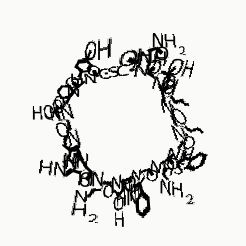 CCCC[C@H]1C(=O)N(C)[C@@H](CCCC)C(=O)N[C@@H](CC(=O)O)C(=O)N[C@H](C(=O)NCC(N)=O)CSCC(=O)N[C@@H](Cc2ccc(O)cc2)C(=O)N2CCCCC2C(=O)N[C@@H](CC(=O)O)C(=O)N2CCC[C@H]2C(=O)N[C@@H](Cc2c[nH]cn2)C(=O)N[C@@H](CCCN)C(=O)N2C[C@H](O)C[C@H]2C(=O)N[C@@H](Cc2c[nH]c3ccccc23)C(=O)N[C@@H](CCCN)C(=O)N[C@@H](Cc2csc3ccccc23)C(=O)N1C